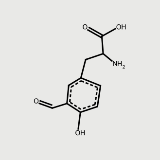 NC(Cc1ccc(O)c(C=O)c1)C(=O)O